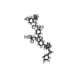 COc1ccc(CC(=O)Nc2ccc(C(=O)N(CC(=O)O)Cc3ccc(-c4noc(C5CC5c5ccc(C)cc5)n4)cc3)cc2)c(C(F)(F)F)c1